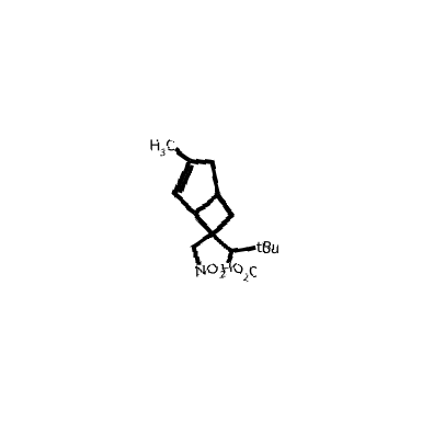 CC1=CC2C(C1)CC2(C[N+](=O)[O-])C(C(=O)O)C(C)(C)C